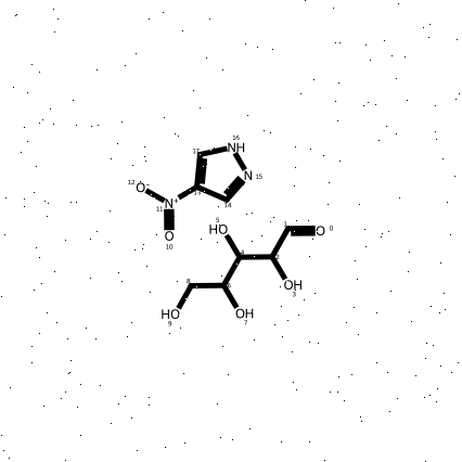 O=CC(O)C(O)C(O)CO.O=[N+]([O-])c1cn[nH]c1